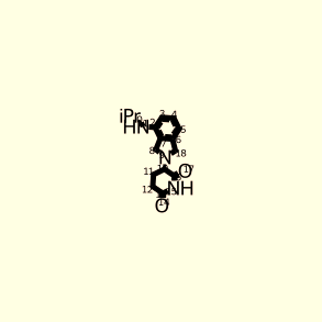 CC(C)Nc1cccc2c1CN([C@@H]1CCC(=O)NC1=O)C2